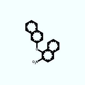 O=[N+]([O-])c1ccc2ccccc2c1Oc1ccc2ccccc2c1